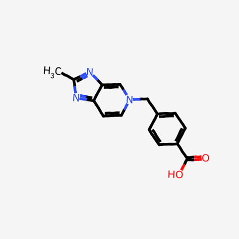 Cc1nc2ccn(Cc3ccc(C(=O)O)cc3)cc-2n1